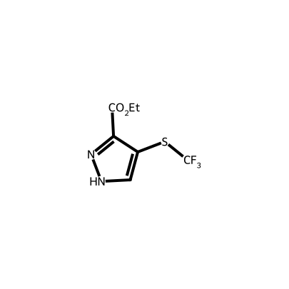 CCOC(=O)c1n[nH]cc1SC(F)(F)F